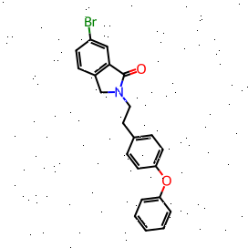 O=C1c2cc(Br)ccc2CN1CCc1ccc(Oc2ccccc2)cc1